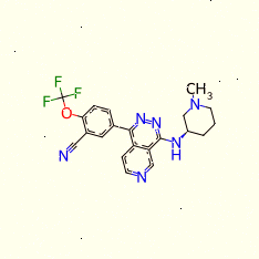 CN1CCC[C@@H](Nc2nnc(-c3ccc(OC(F)(F)F)c(C#N)c3)c3ccncc23)C1